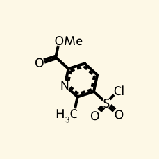 COC(=O)c1ccc(S(=O)(=O)Cl)c(C)n1